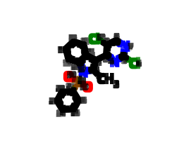 Cc1c(-c2nc(Cl)ncc2Cl)c2ccccc2n1S(=O)(=O)c1ccccc1